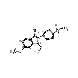 CCn1c(-c2ccc(S(C)(=O)=O)cc2)c(N)c2ccc(OC)cc21